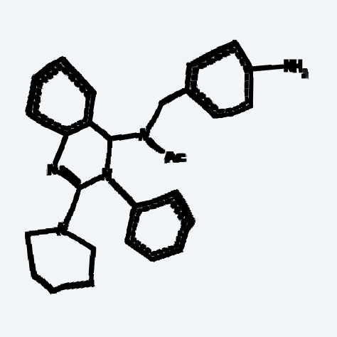 CC(=O)N(Cc1ccc(N)cc1)C1c2ccccc2N=C(N2CCCCC2)N1c1ccccc1